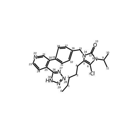 CCCCCc1c(Cl)n(C(C)C)c(=O)n1Cc1ccc(-c2cnccc2-c2nnn[nH]2)cc1